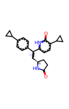 O=C1CC[C@H](/C=C(/c2ccc(C3CC3)cc2)c2ccc(C3CC3)c(=O)[nH]2)N1